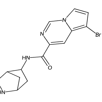 O=C(NC1CC2CC1CN2)c1cc2c(Br)ccn2cn1